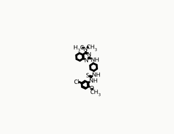 COc1ccc(Cl)cc1NC(=S)N[C@H]1CC[C@@H](Nc2nc3c(c(N(C)C)n2)CCCC3)CC1